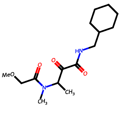 COCC(=O)N(C)C(C)C(=O)C(=O)NCC1CCCCC1